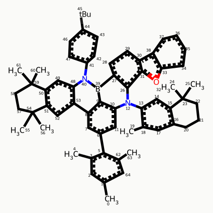 Cc1cc(C)c(-c2cc3c4c(c2)N(c2cc5c(cc2C)CCCC5(C)C)c2c(ccc5c2oc2ccccc25)B4N(c2ccc(C(C)(C)C)cc2)c2cc4c(cc2-3)C(C)(C)CCC4(C)C)c(C)c1